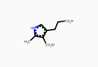 CCOC(=O)c1c(CCC(=O)O)c[nH]c1C